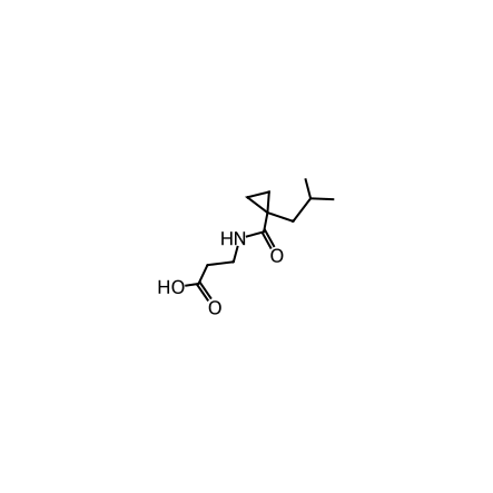 CC(C)CC1(C(=O)NCCC(=O)O)CC1